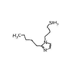 CCCCCc1nccn1CCC[SiH3]